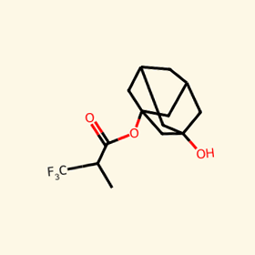 CC(C(=O)OC12CC3CC(CC(O)(C3)C1)C2)C(F)(F)F